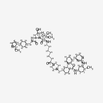 Cc1ccc(NC(=O)c2ccc(CN3CCN(C(=O)CCCCCCNC(C(=O)N4C[C@H](O)C[C@H]4C(=O)NCc4ccc(-c5scnc5C)cc4)C(C)(C)C)CC3)cc2)cc1Nc1nccc(-c2cccnc2)n1